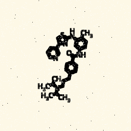 Cc1ccc(NC(=O)c2ccc(CCCN(C(C)C)C(C)C)cc2)cc1Nc1nc(-c2cccnc2)cs1